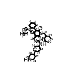 O=c1c(-c2ccccc2S(=O)(=O)CC(F)(F)F)cc2cnc(Nc3ccc(C4CCNCC4)cc3)nc2n1CC1CCOCC1